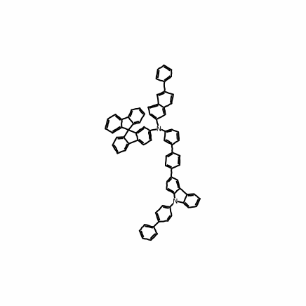 c1ccc(-c2ccc(-n3c4ccccc4c4cc(-c5ccc(-c6cccc(N(c7ccc8c(c7)C7(c9ccccc9-c9ccccc97)c7ccccc7-8)c7ccc8cc(-c9ccccc9)ccc8c7)c6)cc5)ccc43)cc2)cc1